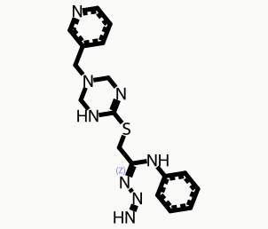 N=N/N=C(/CSC1=NCN(Cc2cccnc2)CN1)Nc1ccccc1